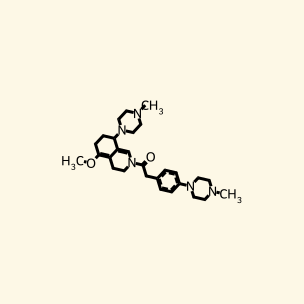 COC1=C2CCN(C(=O)Cc3ccc(N4CCN(C)CC4)cc3)C=C2C(N2CCN(C)CC2)CC1